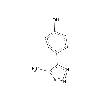 Oc1ccc(-c2nnsc2C(F)(F)F)cc1